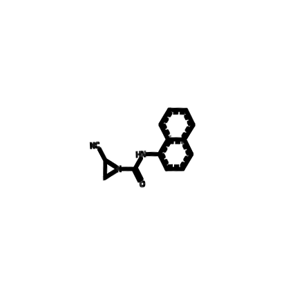 N#CC1CN1C(=O)Nc1cccc2ccccc12